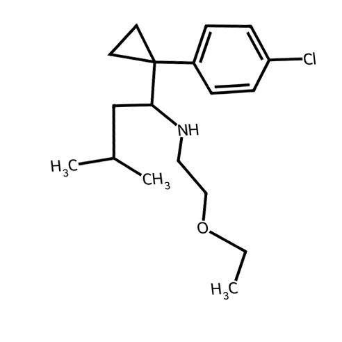 CCOCCNC(CC(C)C)C1(c2ccc(Cl)cc2)CC1